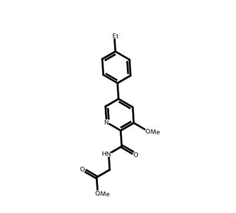 CCc1ccc(-c2cnc(C(=O)NCC(=O)OC)c(OC)c2)cc1